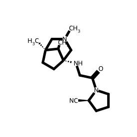 CC1[C@@]2(C)CC[C@]1(NCC(=O)N1CCC[C@H]1C#N)CN(C)C2